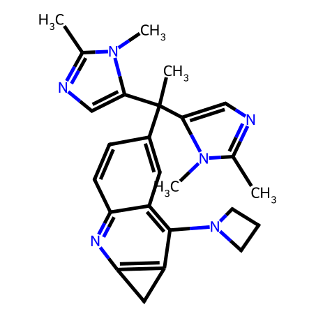 Cc1ncc(C(C)(c2ccc3nc4c(c(N5CCC5)c3c2)C4)c2cnc(C)n2C)n1C